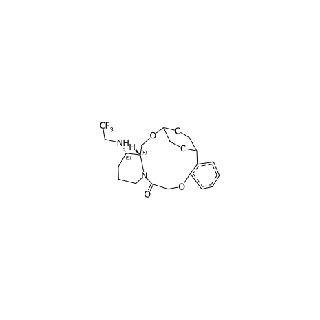 O=C1COc2ccccc2C2CCC(CC2)OC[C@H]2[C@@H](NCC(F)(F)F)CCCN12